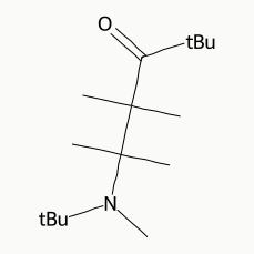 CN(C(C)(C)C)C(C)(C)C(C)(C)C(=O)C(C)(C)C